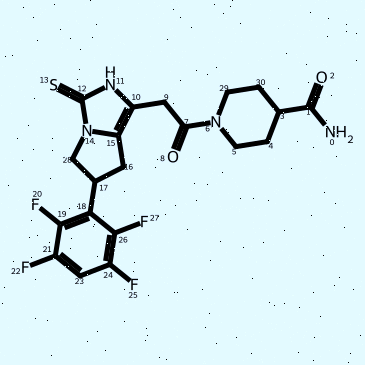 NC(=O)C1CCN(C(=O)Cc2[nH]c(=S)n3c2CC(c2c(F)c(F)cc(F)c2F)C3)CC1